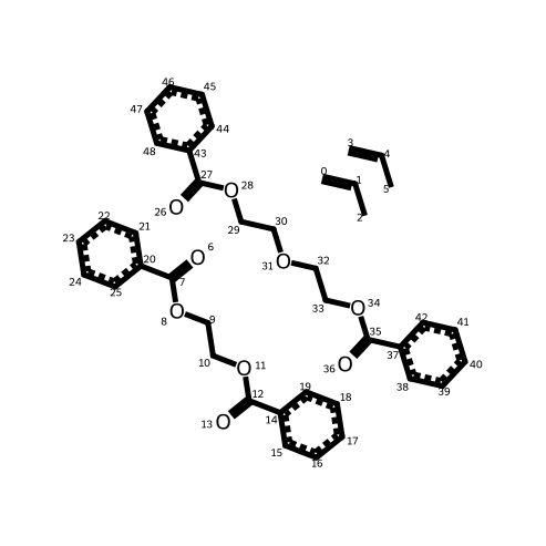 C=CC.C=CC.O=C(OCCOC(=O)c1ccccc1)c1ccccc1.O=C(OCCOCCOC(=O)c1ccccc1)c1ccccc1